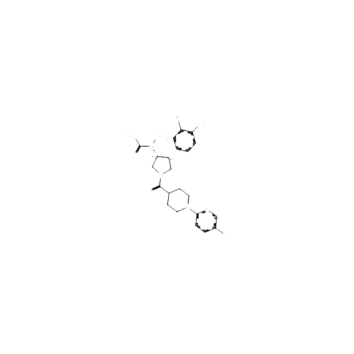 CN(C(=O)O)[C@@H]1CN(C(=O)C2CCN(c3ccc(F)cn3)CC2)C[C@H]1c1ccc(Cl)c(F)c1